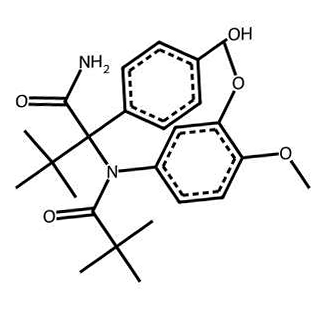 COc1ccc(N(C(=O)C(C)(C)C)C(C(N)=O)(c2ccc(O)cc2)C(C)(C)C)cc1OC